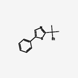 CCC(C)(C)c1ncc(-c2ccccc2)s1